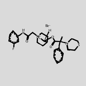 CC(C(=O)O[C@H]1C[N+]2(CC(=O)Nc3cccc(F)c3)CCC1CC2)(c1ccccc1)N1CCSCC1.[Br-]